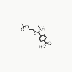 CNC(SCCOC(C)=O)c1ccc(C(=O)O)cc1